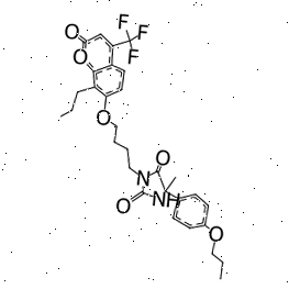 CCCOc1ccc(C2(C)NC(=O)N(CCCCOc3ccc4c(C(F)(F)F)cc(=O)oc4c3CCC)C2=O)cc1